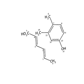 CC=CC=CC(=O)O.Cc1ccc(O)cc1C